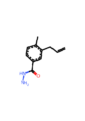 C=CCc1cc(C(=O)NN)ccc1C